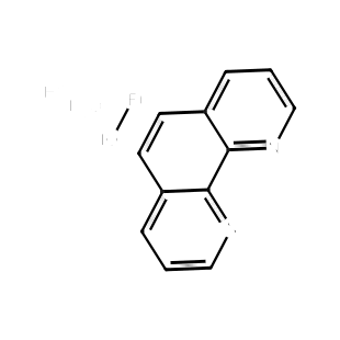 CCO.Cl.O.c1cnc2c(c1)ccc1cccnc12